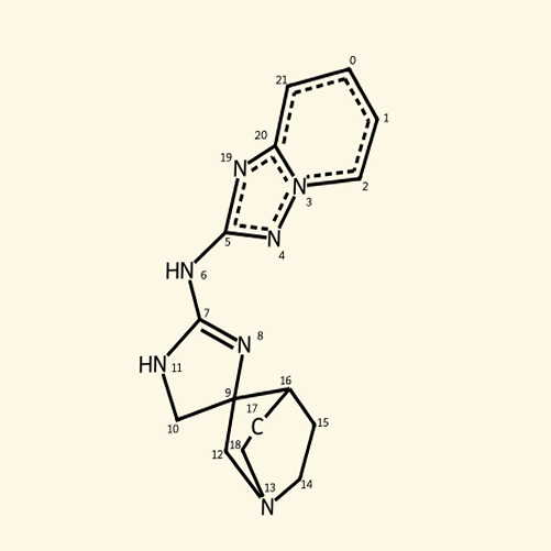 c1ccn2nc(NC3=NC4(CN3)CN3CCC4CC3)nc2c1